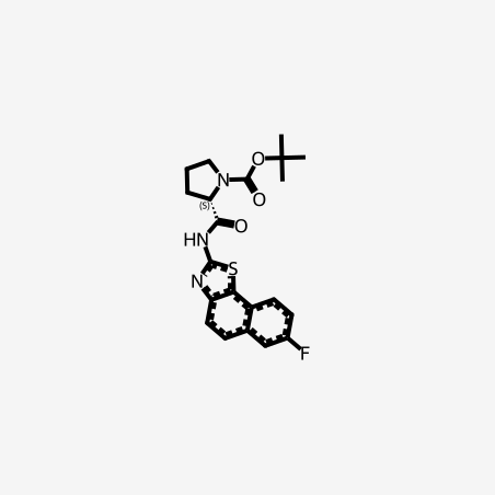 CC(C)(C)OC(=O)N1CCC[C@H]1C(=O)Nc1nc2ccc3cc(F)ccc3c2s1